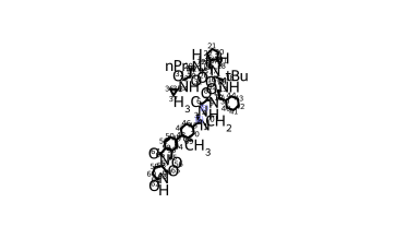 C=N/C(=C\N=C(/C)C(=O)N[C@H](C(=O)N[C@H](C(=O)N1C[C@@H]2CCC[C@@H]2[C@H]1C(=O)N[C@H](CCC)C(=O)C(=O)NC1CC1)C(C)(C)C)C1CCCCC1)C1CCC(c2ccc3c(c2)C(=O)N(C2CCC(=O)NC2=O)C3=O)C(C)C1